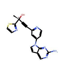 C[C@@](O)(C#Cc1cc(-n2ccc3cnc(N)nc32)ccn1)c1nccs1